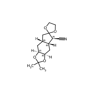 CC1(C)O[C@H]2C[C@@H]3CC4(OCCO4)[C@@H](C#N)[C@@H]3C[C@H]2O1